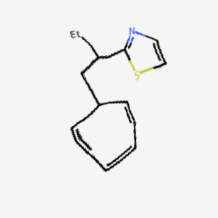 CCC(CC1C=CC=CC=C1)c1nccs1